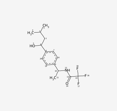 CC(C)CC(O)c1ccc(C(C)NC(=O)C(F)(F)F)cc1